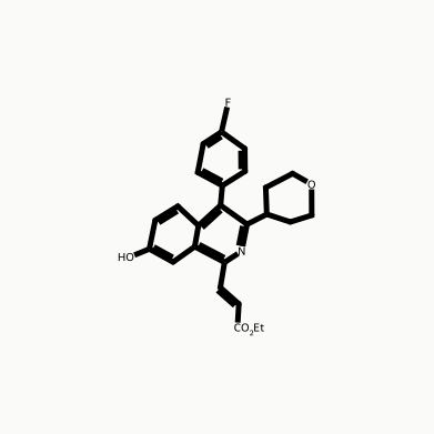 CCOC(=O)/C=C/c1nc(C2CCOCC2)c(-c2ccc(F)cc2)c2ccc(O)cc12